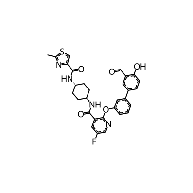 Cc1nc(C(=O)N[C@H]2CC[C@H](NC(=O)c3cc(F)cnc3Oc3cccc(-c4ccc(O)c(C=O)c4)c3)CC2)cs1